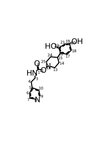 O=C(NCCc1ccncc1)ON1CCC(c2ccc(O)cc2O)CC1